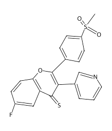 CS(=O)(=O)c1ccc(-c2oc3ccc(F)cc3c(=S)c2-c2cccnc2)cc1